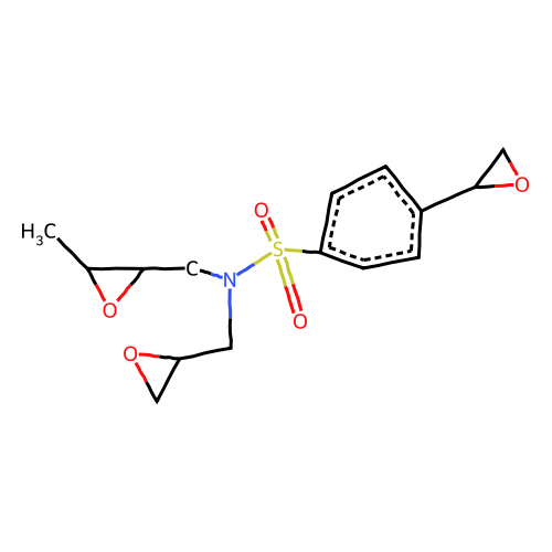 CC1OC1CN(CC1CO1)S(=O)(=O)c1ccc(C2CO2)cc1